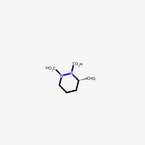 O=C[C@@H]1CCCN(C(=O)O)N1C(=O)O